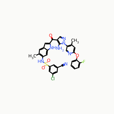 Cc1cc2cc(C(=O)c3cnn(-c4cnc(Oc5ccccc5F)cc4C)c3N)[nH]c2cc1NS(=O)(=O)c1cc(Cl)cc(C#N)c1